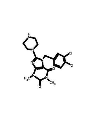 Cn1c(=O)c2c(nc(N3CCNCC3)n2Cc2ccc(Cl)c(Cl)c2)n(C)c1=O